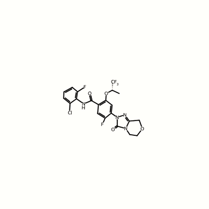 C[C@H](Oc1cc(-n2nc3n(c2=O)CCOC3)c(F)cc1C(=O)Nc1c(F)cccc1Cl)C(F)(F)F